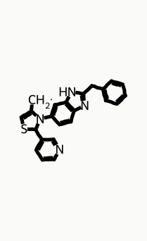 [CH2]C1=CSC(c2cccnc2)N1c1ccc2nc(Cc3ccccc3)[nH]c2c1